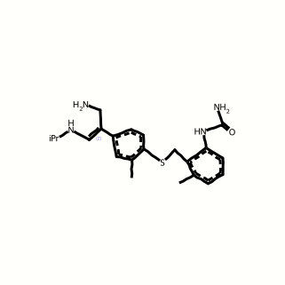 Cc1cc(/C(=C/NC(C)C)CN)ccc1SCc1c(C)cccc1NC(N)=O